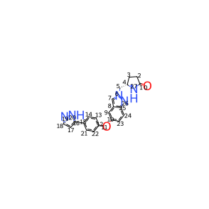 O=C1CC[C@@H](Cn2cc3cc(Oc4ccc(-c5ccn[nH]5)cc4)ccc3n2)N1